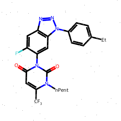 CCCCCn1c(C(F)(F)F)cc(=O)n(-c2cc3c(cc2F)nnn3-c2ccc(CC)cc2)c1=O